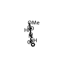 COCCOC(=O)NCCO/N=C(\C)CNC(=O)c1ccccc1